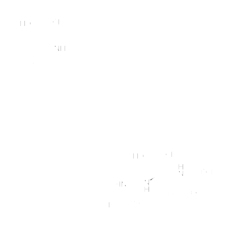 CC(C)C(C=O)NCCCCCCCCCCCCC(NC(=O)O)N[C@H](C(=O)NC(=O)O)C(C)C